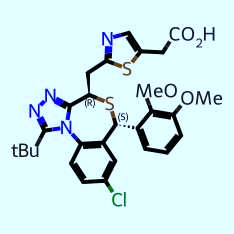 COc1cccc([C@H]2S[C@H](Cc3ncc(CC(=O)O)s3)c3nnc(C(C)(C)C)n3-c3ccc(Cl)cc32)c1OC